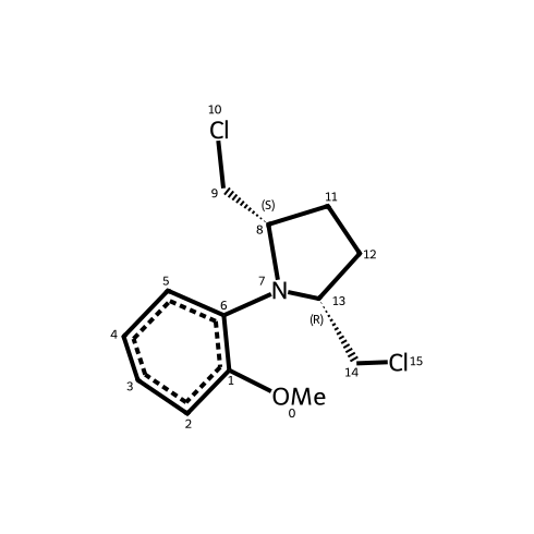 COc1ccccc1N1[C@H](CCl)CC[C@@H]1CCl